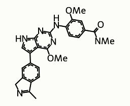 CNC(=O)c1ccc(Nc2nc(OC)c3c(-c4ccc5c(c4)CN=C5C)c[nH]c3n2)c(OC)c1